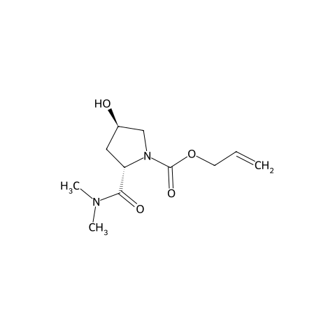 C=CCOC(=O)N1C[C@H](O)C[C@H]1C(=O)N(C)C